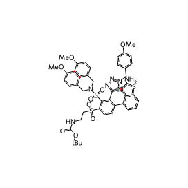 COc1ccc(CN(Cc2ccc(OC)cc2)S(=O)(=O)c2c(S(=O)(=O)CCNC(=O)OC(C)(C)C)ccc(-c3cccc4sc(N)nc34)c2-c2nnn(Cc3ccc(OC)cc3)n2)cc1